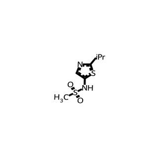 CC(C)c1ncc(NS(C)(=O)=O)s1